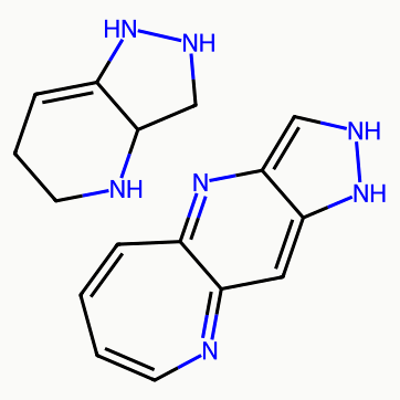 C1=C2NNCC2NCC1.C1=CN=c2cc3c(nc2C=C1)=CNN3